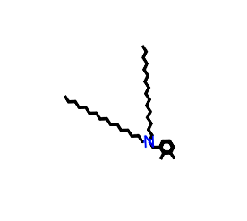 CCCCCCCCCCCCCCCCN(CCCCCCCCCCCCCCCC)Cc1cccc(C)c1C